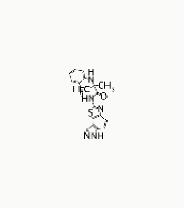 CC(C)(Nc1ccccc1F)C(=O)Nc1nc2ccc3[nH]ncc3c2s1